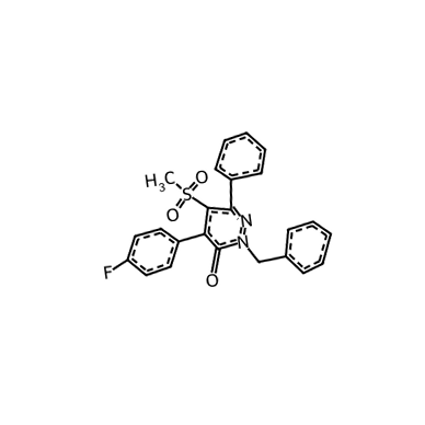 CS(=O)(=O)c1c(-c2ccccc2)nn(Cc2ccccc2)c(=O)c1-c1ccc(F)cc1